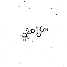 CCN(CC)[C@H]1CCCC[C@H]1Oc1ccc2c(c1)CN(C1CCC(=O)NC1=O)C2=O